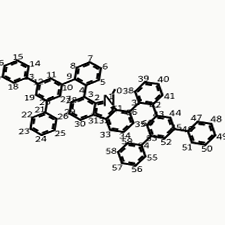 Cn1c2c(-c3ccccc3-c3cc(-c4ccccc4)cc(-c4ccccc4)c3)cccc2c2cccc(-c3ccccc3-c3cc(-c4ccccc4)cc(-c4ccccc4)c3)c21